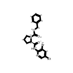 CCc1cnc(NC(=O)[C@H]2CCCN2C(=O)OCc2ccccc2)c(Br)c1